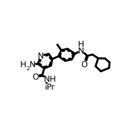 Cc1cc(NC(=O)CC2CCCCC2)ccc1-c1cnc(N)c(C(=O)NC(C)C)c1